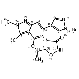 Cc1c2c(O[C@H](C)[C@@H]3CC(=O)NO3)nc(-c3cnn(C(C)(C)C)c3)cc2nn1C